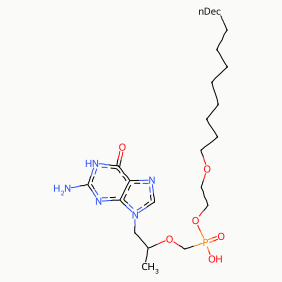 CCCCCCCCCCCCCCCCCCOCCOP(=O)(O)COC(C)Cn1cnc2c(=O)[nH]c(N)nc21